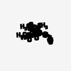 CCN(c1cc(C(=O)NCc2c(C)cc(C)[nH]c2=O)cc(-c2ccc(CN3CCOCC3)cc2)c1)C1CCN(S(C)(=O)=O)CC1